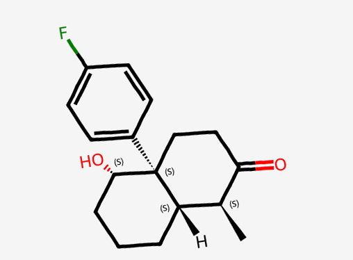 C[C@@H]1C(=O)CC[C@]2(c3ccc(F)cc3)[C@@H](O)CCC[C@@H]12